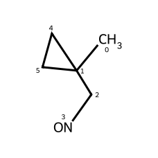 CC1(CN=O)CC1